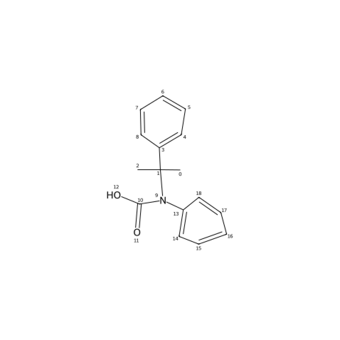 CC(C)(c1ccccc1)N(C(=O)O)c1ccccc1